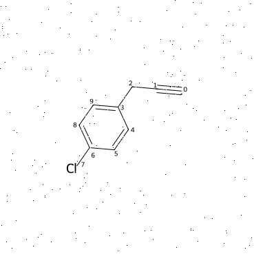 [C]#CCc1ccc(Cl)cc1